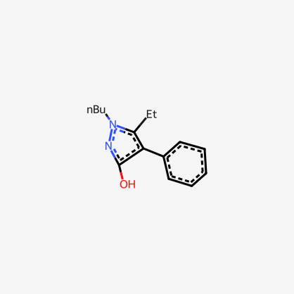 CCCCn1nc(O)c(-c2ccccc2)c1CC